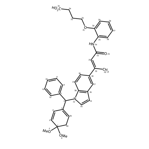 COC1(OC)C=CC(C(c2ccccc2)n2ccc3cc(C(C)=CC(=O)Nc4ccccc4OCCCC(=O)O)ccc32)=CC1